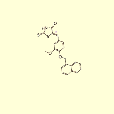 COc1cc(/C=C2\SC(=S)NC2=O)ccc1OCc1cccc2ccccc12